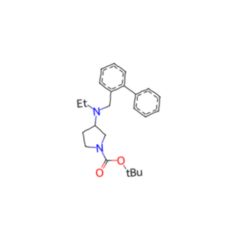 CCN(Cc1ccccc1-c1ccccc1)C1CCN(C(=O)OC(C)(C)C)C1